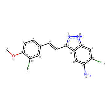 COc1ccc(C=Cc2n[nH]c3cc(F)c(N)cc23)cc1F